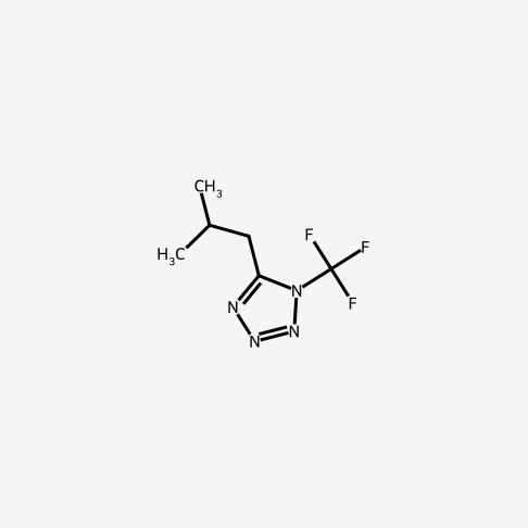 CC(C)Cc1nnnn1C(F)(F)F